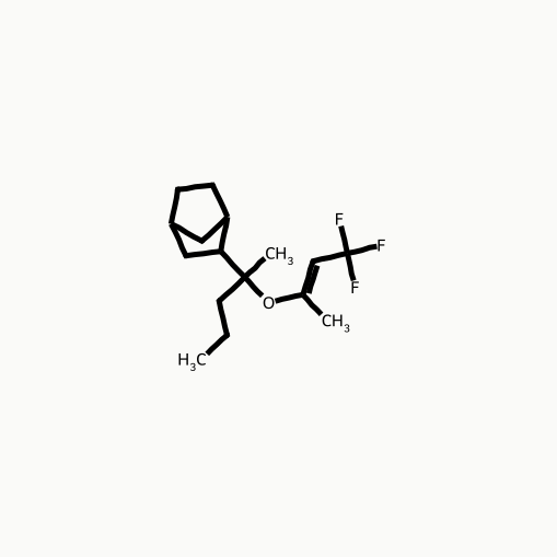 CCCC(C)(OC(C)=CC(F)(F)F)C1CC2CCC1C2